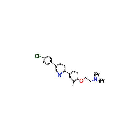 Cc1cc(-c2ccc(-c3ccc(Cl)cc3)cn2)ccc1OCCN(C(C)C)C(C)C